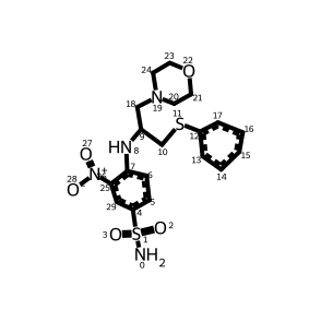 NS(=O)(=O)c1ccc(NC(CSc2ccccc2)CN2CCOCC2)c([N+](=O)[O-])c1